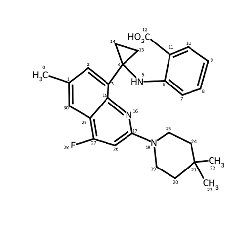 Cc1cc(C2(Nc3ccccc3C(=O)O)CC2)c2nc(N3CCC(C)(C)CC3)cc(F)c2c1